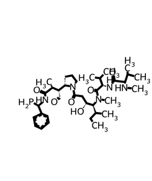 CCC(C)[C@@H]([C@H](O)CC(=O)N1CCC[C@H]1[C@H](C=O)[C@H](C)C(=O)NC(P)c1ccccc1)N(C)C(=O)[C@@H](NC(=O)[C@@H](NC)C(C)C)C(C)C